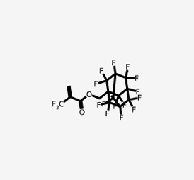 C=C(C(=O)OCC12C(F)(F)C3(F)C(F)(F)C(F)(C(F)(F)C(F)(C3(F)F)C1(F)F)C2(F)F)C(F)(F)F